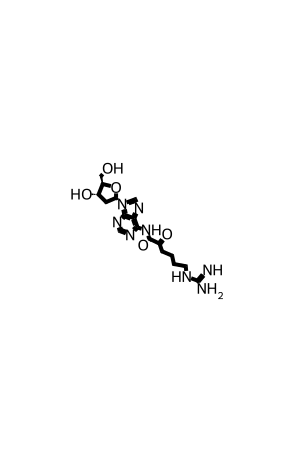 N=C(N)NCCCCC(=O)C(=O)Nc1ncnc2c1ncn2[C@H]1C[C@H](O)[C@@H](CO)O1